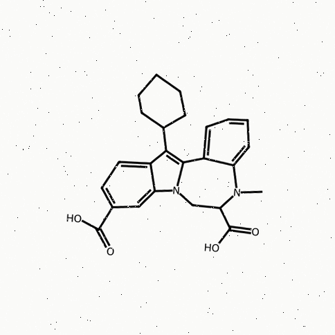 CN1c2ccccc2-c2c(C3CCCCC3)c3ccc(C(=O)O)cc3n2CC1C(=O)O